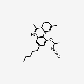 C=C(C)[C@H]1CCC(C)=C[C@@H]1c1c(O)cc(CCCCC)cc1OC(C)N=C=O